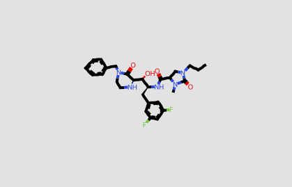 CCCN1CC(C(=O)N[C@@H](Cc2cc(F)cc(F)c2)[C@H](O)[C@@H]2NCCN(Cc3ccccc3)C2=O)N(C)C1=O